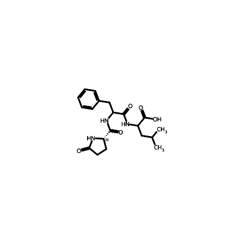 CC(C)CC(NC(=O)C(Cc1ccccc1)NC(=O)[C@@H]1CCC(=O)N1)C(=O)O